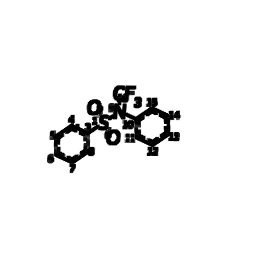 O=S(=O)(c1[c]cccc1)N(c1ccccc1)C(F)(F)F